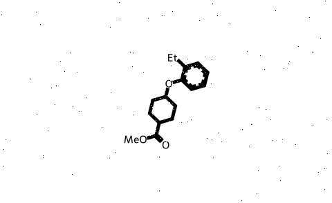 CCc1ccccc1OC1CCC(C(=O)OC)CC1